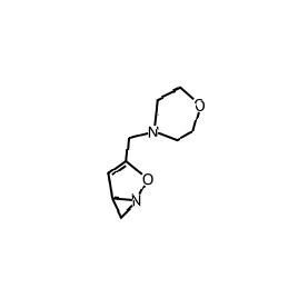 C1=C(CN2CCOCC2)ON2CC12